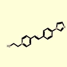 SCC[n+]1ccc(/C=C/c2ccc(-n3ccnc3)cc2)cc1